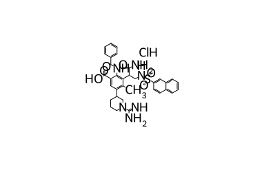 Cc1c(C2CCCN(C(=N)N)C2)cc(C(=O)O)c(NC(=O)c2ccccc2)c1C(CNS(=O)(=O)c1ccc2ccccc2c1)C(N)=O.Cl